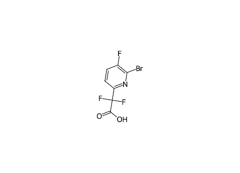 O=C(O)C(F)(F)c1ccc(F)c(Br)n1